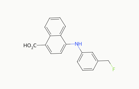 O=C(O)c1ccc(Nc2cccc(CF)c2)c2ccccc12